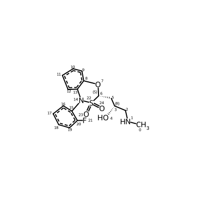 CNC[C@H](O)C[C@H]1Oc2ccccc2N(c2ccccc2F)S1(=O)=O